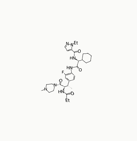 CCC(=O)N[C@@H](C(=O)N1CCN(C)CC1)[C@@H](C)c1ccc(NC(=O)[C@@H](NC(=O)c2ccnn2CC)C2CCCCC2)c(F)c1